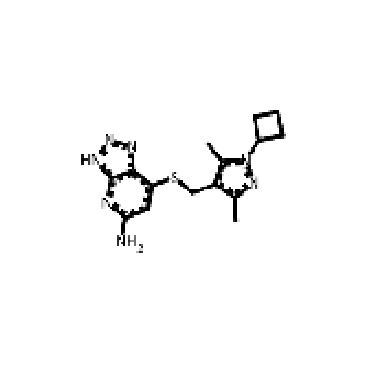 Cc1nn(C2CCC2)c(C)c1CSc1cc(N)nc2[nH]nnc12